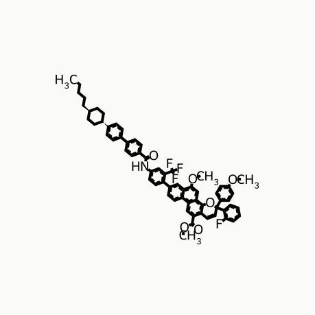 CCCCC[C@H]1CC[C@H](c2ccc(-c3ccc(C(=O)Nc4ccc(-c5ccc6c(c5)c(OC)cc5c7c(c(C(=O)OC)cc56)C=CC(c5ccc(OC)cc5)(c5ccccc5F)O7)c(C(F)(F)F)c4)cc3)cc2)CC1